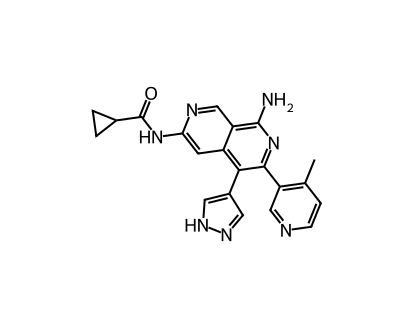 Cc1ccncc1-c1nc(N)c2cnc(NC(=O)C3CC3)cc2c1-c1cn[nH]c1